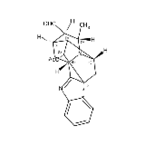 CC(=O)O[C@@H]1C2[C@H]3C[C@H]4C5=Nc6ccccc6[C@]51C[C@@H]2N4[C@@H](C)[C@@H]3C=O